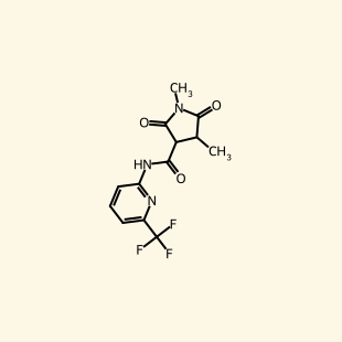 CC1C(=O)N(C)C(=O)C1C(=O)Nc1cccc(C(F)(F)F)n1